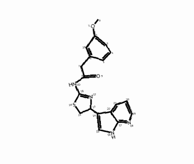 COc1cccc(CC(=O)NC2=NC(c3c[nH]c4ncccc34)CS2)c1